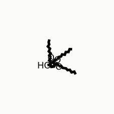 CCCCCCCCOCc1ccc(O)c(COCCCCCCCC)c1COCCCCCCCC